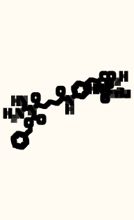 CCCCS(=O)(=O)N[C@@H](Cc1ccc(NC(=O)CCCC(=O)N(C(=N)N)C(=O)OCc2ccccc2)cc1)C(=O)O